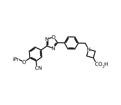 CC(C)Oc1ccc(-c2noc(-c3ccc(CN4CC(C(=O)O)C4)cc3)n2)cc1C#N